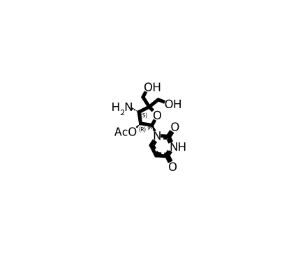 CC(=O)O[C@H]1[C@H](n2ccc(=O)[nH]c2=O)OC(CO)(CO)[C@H]1N